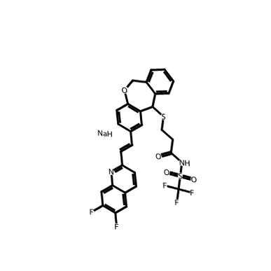 O=C(CCSC1c2ccccc2COc2ccc(C=Cc3ccc4cc(F)c(F)cc4n3)cc21)NS(=O)(=O)C(F)(F)F.[NaH]